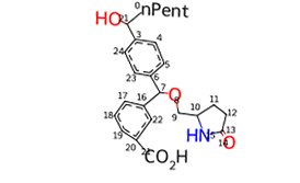 CCCCCC(O)c1ccc(C(OCC2CCC(=O)N2)c2cccc(C(=O)O)c2)cc1